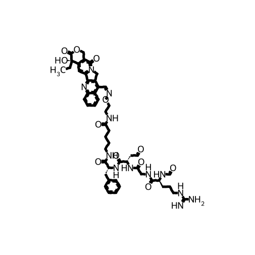 CC[C@@]1(O)C(=O)OCc2c1cc1n(c2=O)Cc2c-1nc1ccccc1c2/C=N\OCCNC(=O)CCCCNC(=O)[C@@H](Cc1ccccc1)NC(=O)[C@H](CC=O)NC(=O)CNC(=O)[C@H](CCCNC(=N)N)NC=O